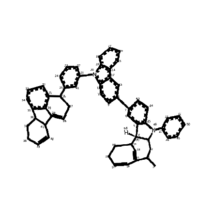 CC1CC2[C@@H](c3cc(-c4ccc5c(c4)c4ccccc4n5-c4cccc(C5CC=C6c7c5cccc7C5CCC=CC65)c4)ccc3N2c2ccccc2)C2C=C1C=CCC2